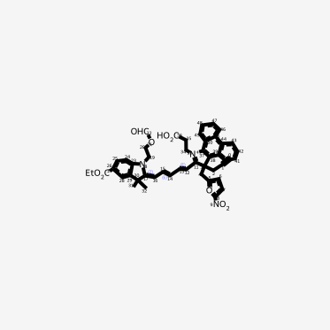 C#CCC1(Cc2ccc([N+](=O)[O-])o2)C(/C=C/C=C/C=C2\N(CCOC=O)c3ccc(C(=O)OCC)cc3C2(C)C)=[N+](CCC(=O)O)c2c1c1ccccc1c1ccccc21